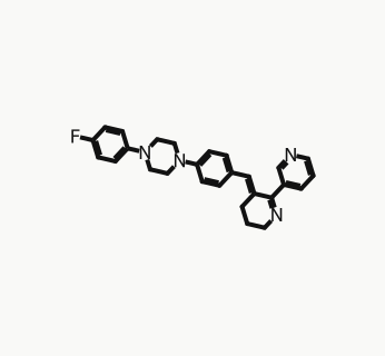 Fc1ccc(N2CCN(c3ccc(/C=C4\CCCN=C4c4cccnc4)cc3)CC2)cc1